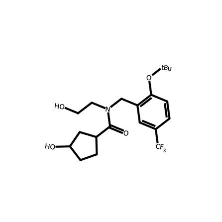 CC(C)(C)Oc1ccc(C(F)(F)F)cc1CN(CCO)C(=O)C1CCC(O)C1